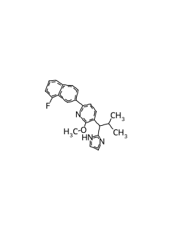 COc1nc(-c2ccc3cccc(F)c3c2)ccc1C(c1ncc[nH]1)C(C)C